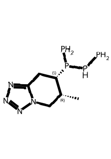 C[C@@H]1Cn2nnnc2C[C@@H]1P(P)PP